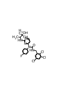 CC(Nc1nccc(N(C(=O)NCc2cc(Cl)cc(Cl)c2Cl)c2ccc(F)cc2)n1)C(C)(C)O